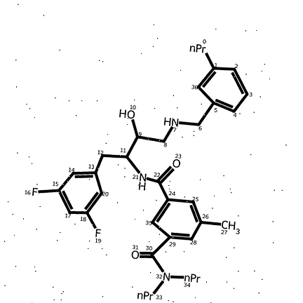 CCCc1cccc(CNCC(O)C(Cc2cc(F)cc(F)c2)NC(=O)c2cc(C)cc(C(=O)N(CCC)CCC)c2)c1